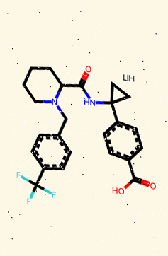 O=C(O)c1ccc(C2(NC(=O)C3CCCCN3Cc3ccc(C(F)(F)F)cc3)CC2)cc1.[LiH]